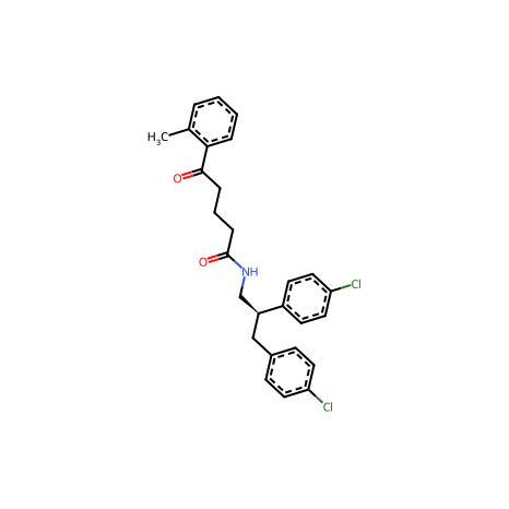 Cc1ccccc1C(=O)CCCC(=O)NC[C@H](Cc1ccc(Cl)cc1)c1ccc(Cl)cc1